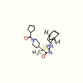 CC1(C2CCN(C(=O)C3CCCC3)CC2)SC(N[C@H]2C[C@H]3CC[C@H]2C3)=NC1=O